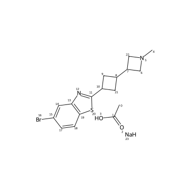 CC(=O)O.CN1CC(C2CC(c3nc4cc(Br)ccc4s3)C2)C1.[NaH]